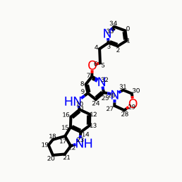 c1ccc(CCOc2cc(Nc3ccc4c(c3)C3CCCCC3N4)cc(N3CCOCC3)n2)nc1